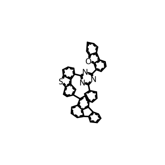 c1ccc(-c2nc(-c3cccc4c3oc3ccccc34)nc(-c3cccc4sc5ccc(-c6ccc7c8c(cccc68)-c6ccccc6-7)cc5c34)n2)cc1